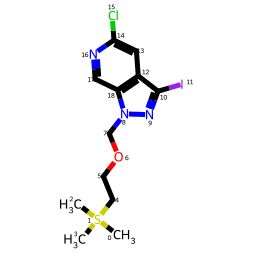 CS(C)(C)CCOCn1nc(I)c2cc(Cl)ncc21